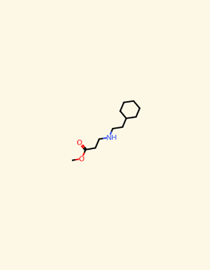 COC(=O)CCNCCC1CCCCC1